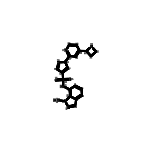 Cn1ncc2cccc(NS(=O)(=O)c3cnn(-c4cc(C5CCO5)ccn4)c3)c21